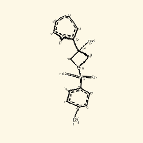 Cc1ccc(S(=O)(=O)N2CC(O)(c3ccccc3)C2)cc1